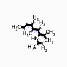 C=C/C=C(C)\C(C)=C(/C)C(NC(=C)C)=C(C)C